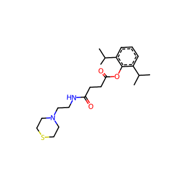 CC(C)c1cccc(C(C)C)c1OC(=O)CCC(=O)NCCN1CCSCC1